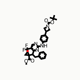 COC(=O)C1(C(Cc2ccccc2)c2nc(Nc3ccc(C4CN(C(=O)OC(C)(C)C)C4)cc3)ncc2C(F)(F)F)CC1